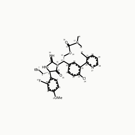 COc1ccc([C@@]2(CC(C)(C)C)NC(=N)N([C@H](COC(=O)N(C)C)c3ccc(Cl)c(-c4ncccc4C)c3)C2=O)c(F)c1